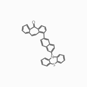 O=c1c2ccccc2ccc2c(-c3ccc4cc(N5c6ccccc6Sc6ccccc65)ccc4c3)cccc12